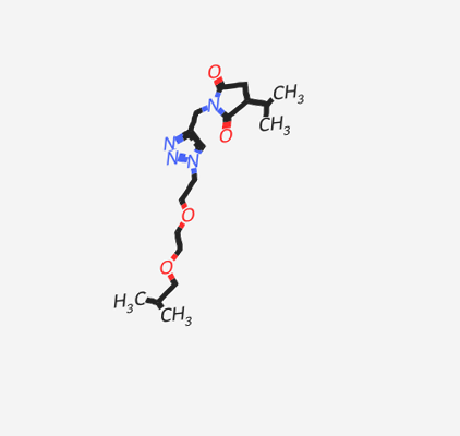 CC(C)COCCOCCn1cc(CN2C(=O)CC(C(C)C)C2=O)nn1